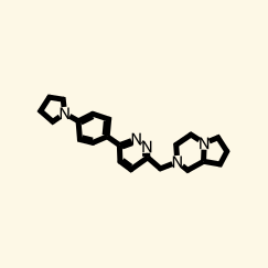 c1cc(N2CCCC2)ccc1-c1ccc(CN2CCN3CCCC3C2)nn1